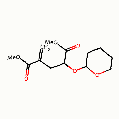 C=C(CC(OC1CCCCO1)C(=O)OC)C(=O)OC